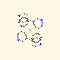 c1ccc([Si](c2ccccc2)(c2ccncc2-c2ccncc2)c2ccncc2-c2ccncc2)cc1